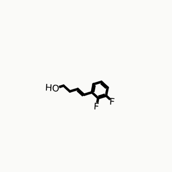 OCCC=Cc1cccc(F)c1F